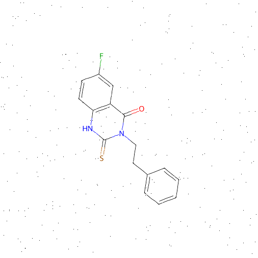 O=c1c2cc(F)ccc2[nH]c(=S)n1CCc1ccccc1